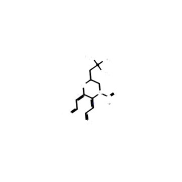 C=C/C=C1/OC(CC(C)(C)O)CN([SH](=O)=O)/C1=C/C=C